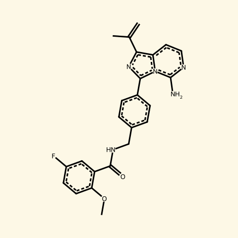 C=C(C)c1nc(-c2ccc(CNC(=O)c3cc(F)ccc3OC)cc2)n2c(N)nccc12